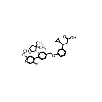 COc1cc(-c2ccc(COc3cccc([C@H](CC(=O)O)C4CC4)c3)cc2[C@@H]2CCCC2(C)C)c(F)cn1